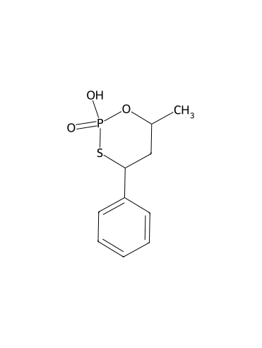 CC1CC(c2ccccc2)SP(=O)(O)O1